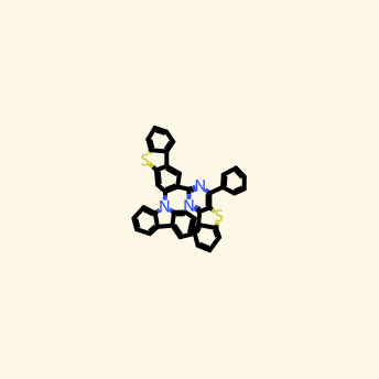 c1ccc(-c2nc(-c3cc4c(cc3-n3c5ccccc5c5ccccc53)sc3ccccc34)nc3c2sc2ccccc23)cc1